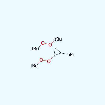 CC(C)(C)OOC(C)(C)C.CCCC1CC1OOC(C)(C)C